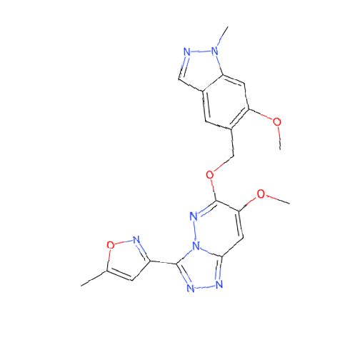 COc1cc2c(cnn2C)cc1COc1nn2c(-c3cc(C)on3)nnc2cc1OC